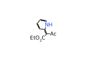 CCOC(=O)C(C(C)=O)=C1C=CC=CN1